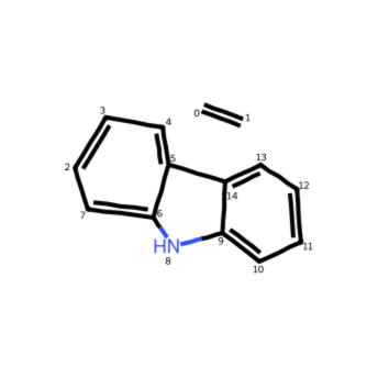 C=C.c1ccc2c(c1)[nH]c1ccccc12